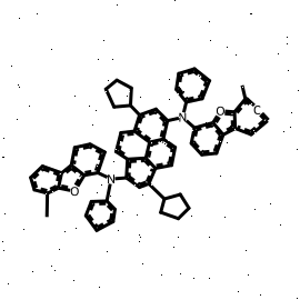 Cc1cccc2c1oc1c(N(c3ccccc3)c3cc(C4CCCC4)c4ccc5c(N(c6ccccc6)c6cccc7c6oc6c(C)cccc67)cc(C6CCCC6)c6ccc3c4c65)cccc12